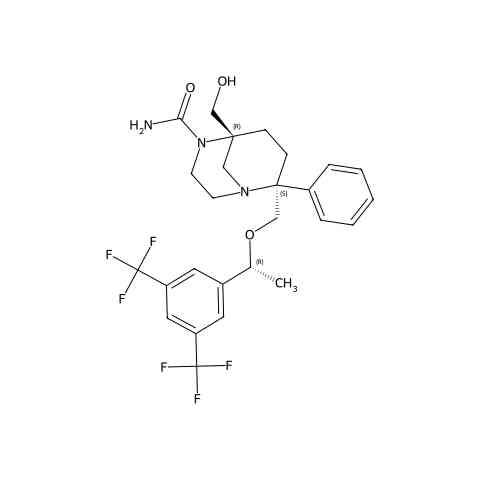 C[C@@H](OC[C@@]1(c2ccccc2)CC[C@]2(CO)CN1CCN2C(N)=O)c1cc(C(F)(F)F)cc(C(F)(F)F)c1